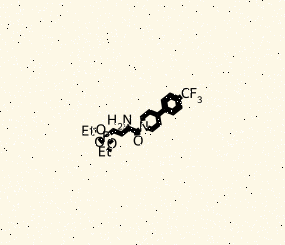 CCOP(=O)(CC[C@H](N)C(=O)N1CCC(c2ccc(C(F)(F)F)cc2)CC1)OCC